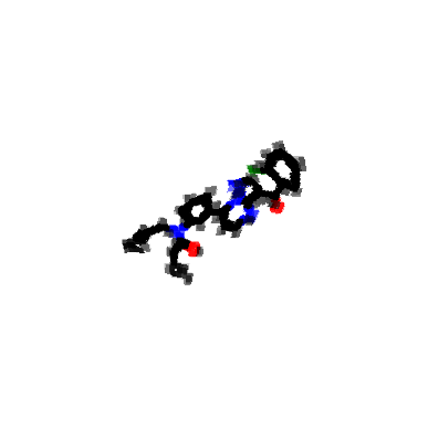 C#CCN(C(=O)CC)c1cccc(-c2ccnc3c(C(=O)c4ccccc4F)cnn23)c1